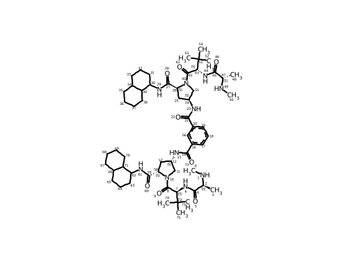 CN[C@@H](C)C(=O)N[C@H](C(=O)N1C[C@@H](NC(=O)c2cccc(C(=O)N[C@H]3C[C@@H](C(=O)NC4CCCC5CCCCC54)N(C(=O)[C@@H](NC(=O)[C@H](C)NC)C(C)(C)C)C3)c2)C[C@H]1C(=O)NC1CCCC2CCCCC21)C(C)(C)C